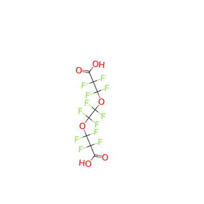 O=C(O)C(F)(F)C(F)(F)OC(F)(F)C(F)(F)OC(F)(F)C(F)(F)C(=O)O